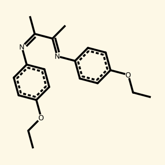 CCOc1ccc(N=C(C)C(C)=Nc2ccc(OCC)cc2)cc1